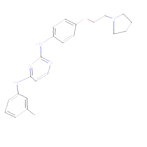 Cc1cccc(Nc2ccnc(Nc3ccc(OCCN4CCCC4)cc3)n2)c1